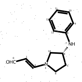 O=CC=CN1CC[C@@H](Nc2ccccc2)C1